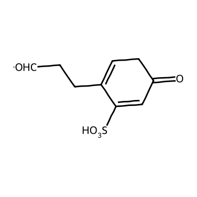 O=[C]CCC1=CCC(=O)C=C1S(=O)(=O)O